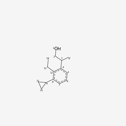 [CH2]C(CO)c1cccc(C2CC2)c1CC